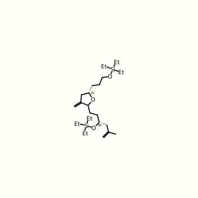 C=C(C)C[C@@H](CCC1O[C@@H](CCCO[Si](CC)(CC)CC)CC1=C)O[Si](CC)(CC)CC